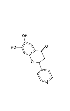 O=C1CC(c2ccncc2)Oc2cc(O)c(O)cc21